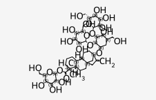 C=C1C[C@@]23CC[C@H]4[C@@](C)(CCC[C@@]4(C)C(=O)O[C@@H]4O[C@H](CO)[C@@H](O)[C@H](O)[C@H]4O)[C@@H]2CC[C@]1(O[C@@H]1C[C@H](CO)[C@@H](O)[C@H](OC2O[C@H](CO)[C@@H](O)[C@H](O)[C@H]2O)[C@H]1OC1O[C@H](CO)[C@@H](O)[C@H](O)[C@H]1O)C3